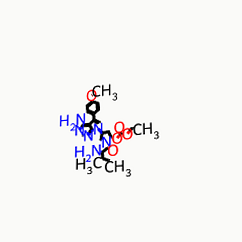 CCOC(=O)OC1CC(n2cc(-c3ccc(OC)cc3)c3c(N)ncnc32)CN1C(=O)C(N)C(C)CC